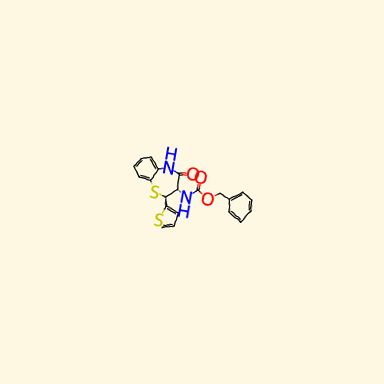 O=C(N[C@H]1C(=O)Nc2ccccc2S[C@@H]1c1cccs1)OCc1ccccc1